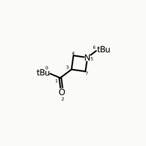 CC(C)(C)C(=O)C1CN(C(C)(C)C)C1